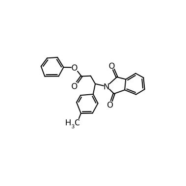 Cc1ccc(C(CC(=O)Oc2ccccc2)N2C(=O)c3ccccc3C2=O)cc1